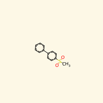 CS(=O)(=O)c1ccc(-c2ccccc2)cc1